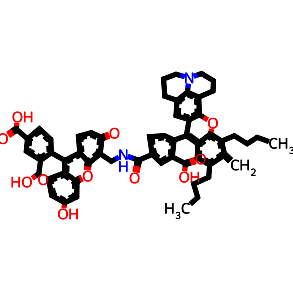 C=c1c(CCCC)cc2c(c1CCCC)Oc1c(cc3c4c1CCCN4CCC3)C=2c1ccc(C(=O)NCc2c3oc4cc(O)ccc4c(-c4ccc(C(=O)O)cc4C(=O)O)c-3ccc2=O)cc1C(=O)O